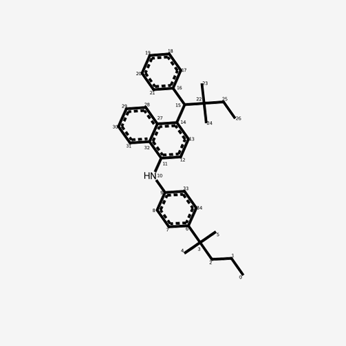 CCCC(C)(C)c1ccc(Nc2ccc(C(c3ccccc3)C(C)(C)CC)c3ccccc23)cc1